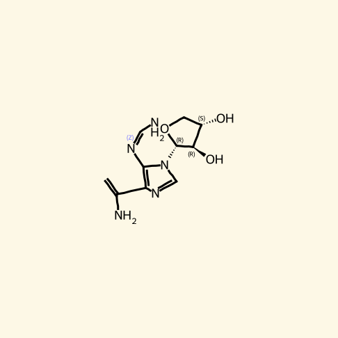 C=C(N)c1ncn([C@@H]2OC[C@H](O)[C@H]2O)c1/N=C\N